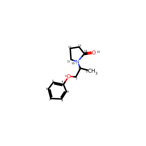 CC(COc1cc[c]cc1)N1CCCC1=O